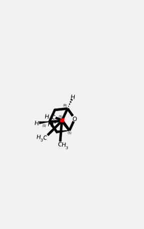 C[C@H]1[C@H]2C[C@H]3C[C@@]1(O2)C3(C)C